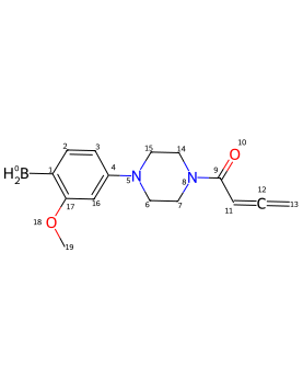 Bc1ccc(N2CCN(C(=O)C=C=C)CC2)cc1OC